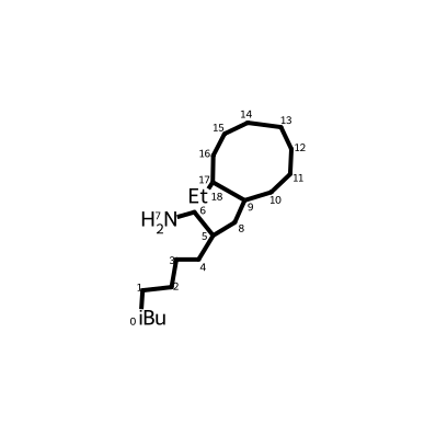 CCC(C)CCCCC(CN)CC1CCCCCCCC1CC